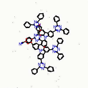 N#Cc1cccc(-c2ccc(-n3c4ccc(-c5nc(-c6ccccc6)nc(-c6ccccc6)n5)cc4c4cc(-c5nc(-c6ccccc6)nc(-c6ccccc6)n5)ccc43)c(-c3cccc(-n4c5ccc(-c6nc(-c7ccccc7)nc(-c7ccccc7)n6)cc5c5cc(-c6nc(-c7ccccc7)nc(-c7ccccc7)n6)ccc54)c3-c3nc(-c4ccccc4)nc(-c4ccccc4)n3)c2)c1